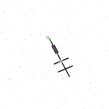 CC(C)(C)[Si](C)(C)C#CCl